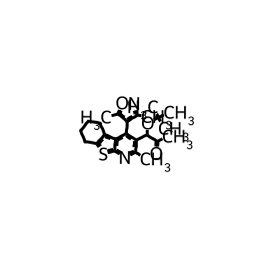 CC(=O)C(OC(C)(C)C)c1c(C)nc2sc3c(c2c1-c1c(C)noc1C)CCCC3